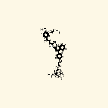 CCOc1cc(C(=O)CCC(=O)Nc2cc(-c3ccc(OCCNC(=O)OC(C)(C)C)cc3)c3ccccc3n2)ccc1O